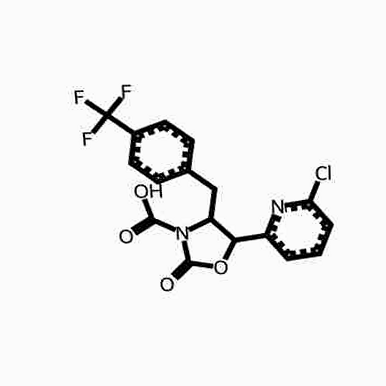 O=C(O)N1C(=O)OC(c2cccc(Cl)n2)C1Cc1ccc(C(F)(F)F)cc1